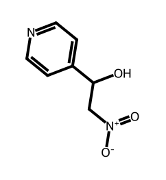 O=[N+]([O-])CC(O)c1ccncc1